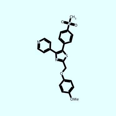 COc1ccc(OCc2nc(-c3ccncc3)c(-c3ccc(S(C)(=O)=O)cc3)s2)cc1